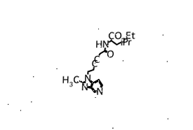 CCOC(=O)[C@H](CC(C)C)NC(=O)CCCCCn1c(C)nc2cnccc21